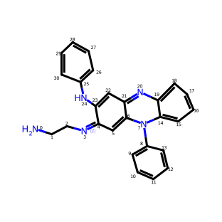 NCC/N=c1/cc2n(-c3ccccc3)c3ccccc3nc-2cc1Nc1ccccc1